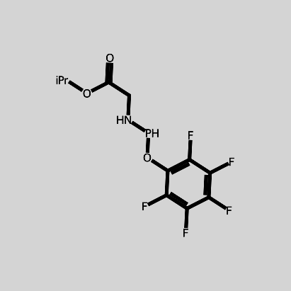 CC(C)OC(=O)CNPOc1c(F)c(F)c(F)c(F)c1F